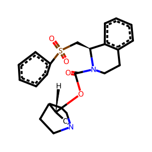 O=C(O[C@@H]1CN2CCC1CC2)N1CCc2ccccc2[C@@H]1CS(=O)(=O)c1ccccc1